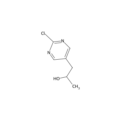 CC(O)Cc1cnc(Cl)nc1